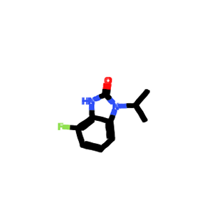 CC(C)n1c(=O)[nH]c2c(F)cccc21